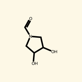 O=CN1CC(O)C(O)C1